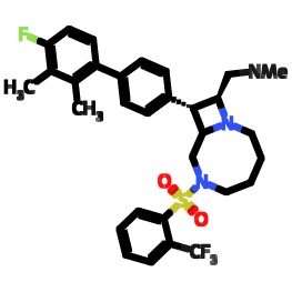 CNC[C@@H]1[C@@H](c2ccc(-c3ccc(F)c(C)c3C)cc2)C2CN(S(=O)(=O)c3ccccc3C(F)(F)F)CCCCN21